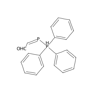 O=C/C=P\[PH](c1ccccc1)(c1ccccc1)c1ccccc1